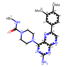 CCCCNC(=O)N1CCN(c2nc(N)nc3ncc(-c4ccc(OC)c(OC)c4)nc23)CC1